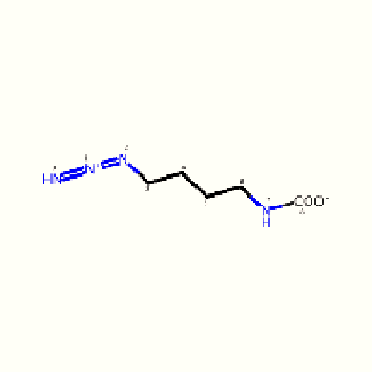 N=[N+]=NCCCCNC(=O)[O-]